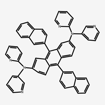 c1ccc(N(c2cccnc2)c2ccc3c(-c4ccc5ccccc5c4)c4ccc(N(c5cccnc5)c5ccccn5)cc4c(-c4ccc5ccccc5c4)c3c2)nc1